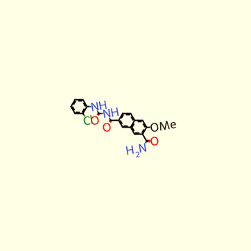 COc1cc2ccc(C(=O)NC(=O)Nc3ccccc3Cl)cc2cc1C(N)=O